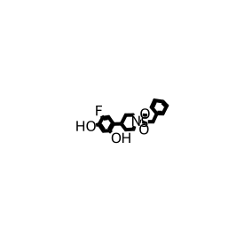 O=S(=O)(Cc1ccccc1)N1CCC(c2cc(F)c(O)cc2O)CC1